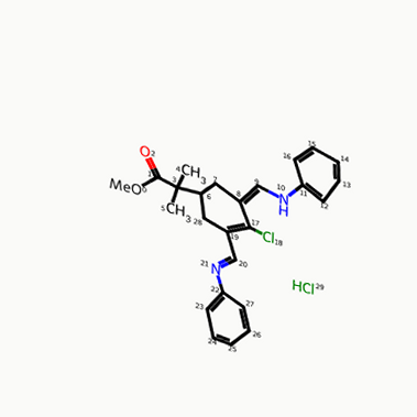 COC(=O)C(C)(C)C1CC(=CNc2ccccc2)C(Cl)=C(C=Nc2ccccc2)C1.Cl